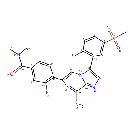 Cc1ccc(S(C)(=O)=O)cc1-c1cnc2c(N)nc(-c3ccc(C(=O)N(C)C)cc3F)cn12